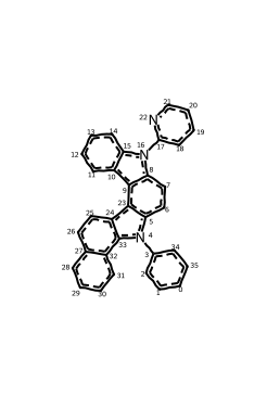 c1ccc(-n2c3ccc4c(c5ccccc5n4-c4ccccn4)c3c3ccc4ccccc4c32)cc1